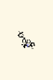 C=N/C(=C/c1cccs1)C(=O)OCc1ccc(C)s1